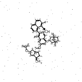 C#Cc1c(F)ccc2cccc(-c3ncc4c(N5C[C@H]6CC[C@@H](C5)N6)nc(OC[C@]56CCC(=C)N5C[C@@H](OC(F)F)C6)nc4c3F)c12